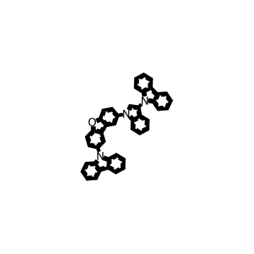 c1ccc2c(c1)c(-n1c3ccccc3c3ccccc31)cn2-c1ccc2oc3ccc(-n4c5ccccc5c5ccccc54)cc3c2c1